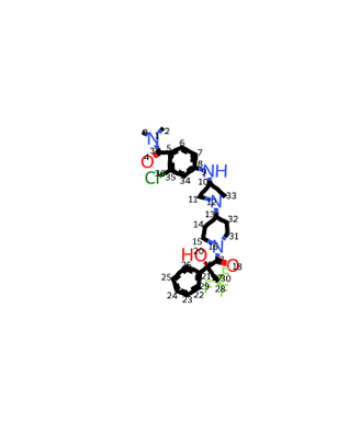 CN(C)C(=O)c1ccc(NC2CN(C3CCN(C(=O)C(O)(c4ccccc4)C(F)(F)F)CC3)C2)cc1Cl